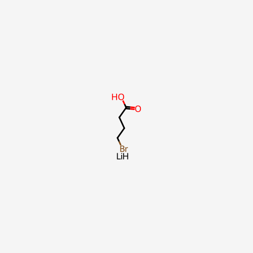 O=C(O)CCCBr.[LiH]